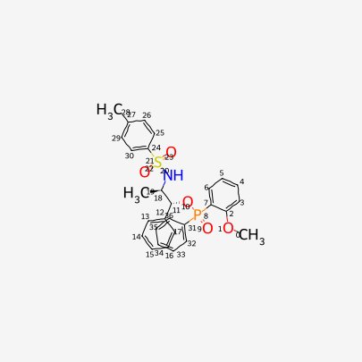 COc1ccccc1P(=O)(O[C@H](c1ccccc1)[C@@H](C)NS(=O)(=O)c1ccc(C)cc1)c1ccccc1